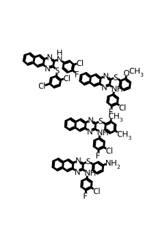 COc1ccccc1Sc1nc2cc3ccccc3cc2nc1Nc1ccc(F)c(Cl)c1.Cc1ccc(Sc2nc3cc4ccccc4cc3nc2Nc2ccc(F)c(Cl)c2)c(C)c1.Fc1ccc(Nc2nc3cc4ccccc4cc3nc2Sc2cc(Cl)ccc2Cl)cc1Cl.Nc1cccc(Sc2nc3cc4ccccc4cc3nc2Nc2ccc(F)c(Cl)c2)c1